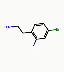 NCCc1ccc(Br)cc1I